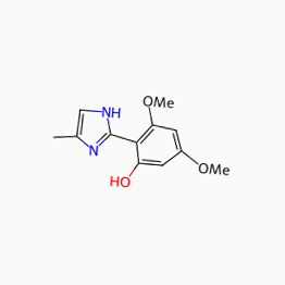 COc1cc(O)c(-c2nc(C)c[nH]2)c(OC)c1